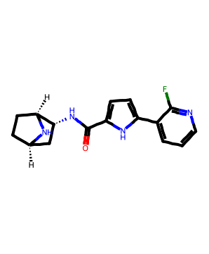 O=C(N[C@@H]1C[C@H]2CC[C@@H]1N2)c1ccc(-c2cccnc2F)[nH]1